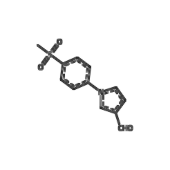 CS(=O)(=O)c1ccc(-n2ccc(C=O)c2)cc1